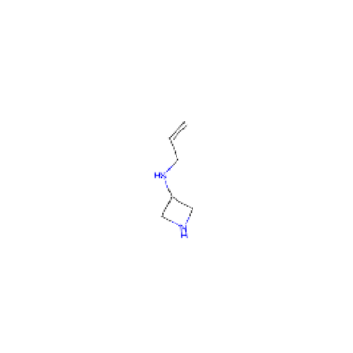 C=CCNC1CNC1